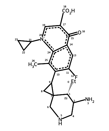 CC[C@@H]1C(N)CNCC12CC2c1c(F)cc2c(=O)c(C(=O)O)cn(C3CC3)c2c1C